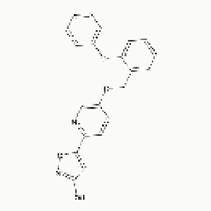 Oc1cc(-c2ccc(OCc3ccccc3Oc3ccccc3)cn2)on1